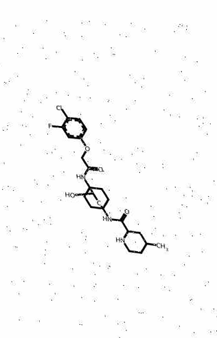 CC1CCNC(C(=O)NC23CCC(NC(=O)COc4ccc(Cl)c(F)c4)(CC2)C(O)C3)C1